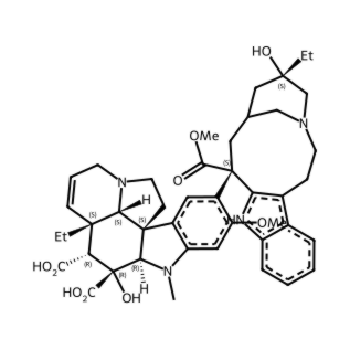 CC[C@]1(O)CC2CN(CCc3c([nH]c4ccccc34)[C@@](C(=O)OC)(c3cc4c(cc3OC)N(C)[C@H]3[C@@](O)(C(=O)O)[C@H](C(=O)O)[C@]5(CC)C=CCN6CC[C@@]43[C@@H]65)C2)C1